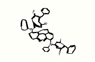 Fc1cc(N(c2ccccc2)c2ccc3ccc4c(N(c5ccccc5)c5cc(F)c(-c6ccccc6)c(F)c5)ccc5ccc2c3c54)cc(F)c1-c1ccccc1